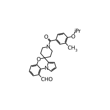 Cc1cc(C(=O)N2CCC3(CC2)Oc2cccc(C=O)c2-n2cccc23)ccc1OC(C)C